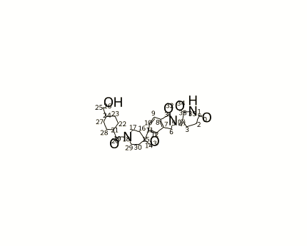 O=C1CC[C@H](N2Cc3c(ccc4c3OCC43CCN(C(=O)C4CCC(CO)CC4)CC3)C2=O)C(=O)N1